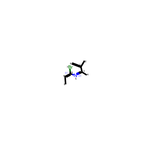 C=C(C)/C(C)=N\C(Br)=C/C